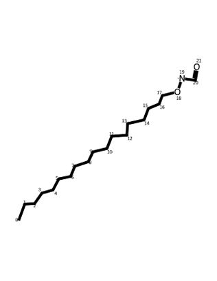 CCCCCCCCCCCCCCCCCCO[N]C=O